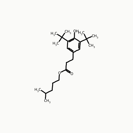 CC(C)CCCOC(=O)CCc1cc(C(C)(C)C)c(O)c(C(C)(C)C)c1